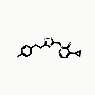 O=c1c(C2CC2)ccnn1Cc1nc(CCc2ccc(Cl)cc2)no1